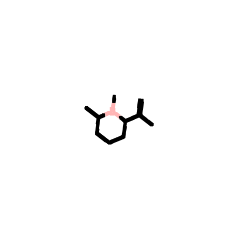 C=C(C)C1CCCC(C)B1C